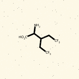 NC(C(=O)O)C(CC(F)(F)F)CC(F)(F)F